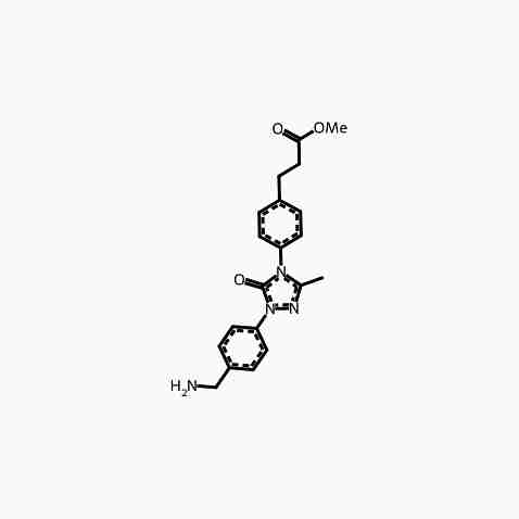 COC(=O)CCc1ccc(-n2c(C)nn(-c3ccc(CN)cc3)c2=O)cc1